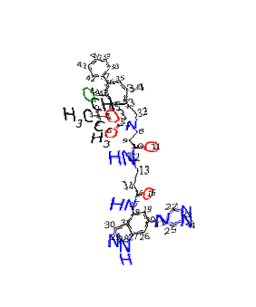 CC(C)(C)OC(=O)N(CCC(=O)NCCC(=O)Nc1cc(-n2cnnc2)cc2[nH]ncc12)Cc1ccc(-c2ccccc2)c(Cl)c1